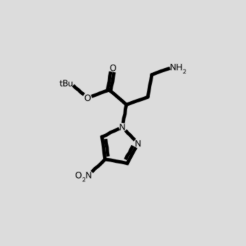 CC(C)(C)OC(=O)C(CCN)n1cc([N+](=O)[O-])cn1